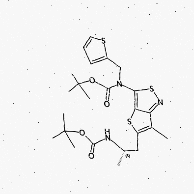 Cc1c(C[C@H](C)NC(=O)OC(C)(C)C)sc2c(N(Cc3cccs3)C(=O)OC(C)(C)C)snc12